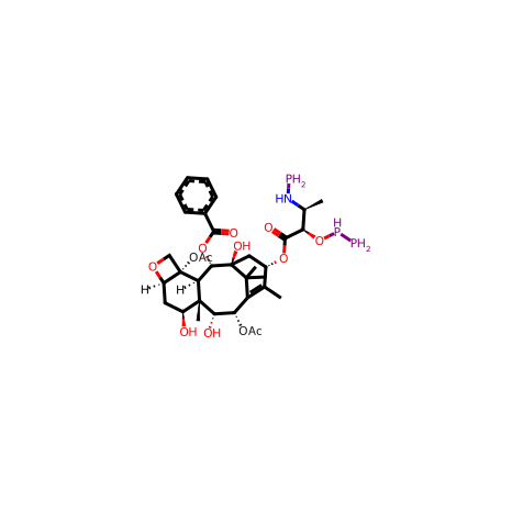 CC(=O)O[C@H]1C2=C(C)[C@@H](OC(=O)[C@H](OPP)[C@H](C)NP)C[C@@](O)([C@@H](OC(=O)c3ccccc3)[C@@H]3[C@]4(OC(C)=O)CO[C@@H]4C[C@H](O)[C@@]3(C)[C@H]1O)C2(C)C